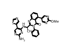 COc1ncc(-c2cccc3nc([C@@H](C)Nc4nc(N)ncc4-c4cncs4)n(-c4ccccc4)c(=O)c23)cn1